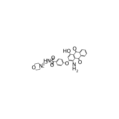 C[N+]1(CCNS(=O)(=O)c2ccc(Oc3cc(O)c4c(c3N)C(=O)c3ccccc3C4=O)cc2)CCOCC1